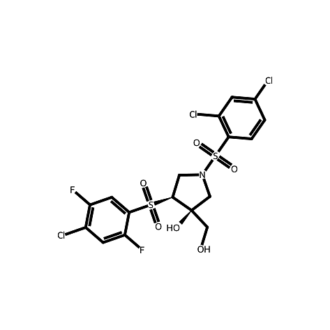 O=S(=O)(c1cc(F)c(Cl)cc1F)[C@H]1CN(S(=O)(=O)c2ccc(Cl)cc2Cl)C[C@]1(O)CO